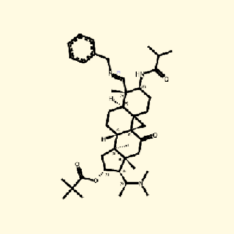 CC(C)C(=O)N[C@H]1CCC23C[C@]24C(=O)C[C@]2(C)[C@@H]([C@H](C)N(C)C)[C@H](OC(=O)C(C)(C)C)C[C@@]2(C)[C@@H]4CC[C@H]3[C@]1(C)/C=N/Cc1ccccc1